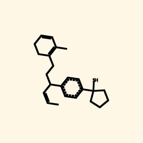 C/C=C\C(CCC1=C(C)C=CCC1)c1ccc(C2(S)CCCC2)cc1